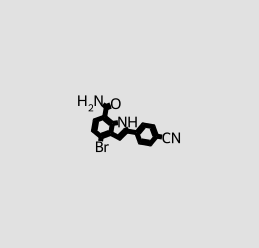 N#Cc1ccc(-c2cc3c(Br)ccc(C(N)=O)c3[nH]2)cc1